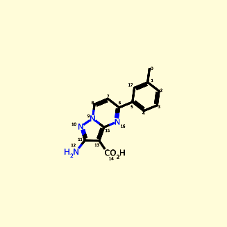 Cc1cccc(-c2ccn3nc(N)c(C(=O)O)c3n2)c1